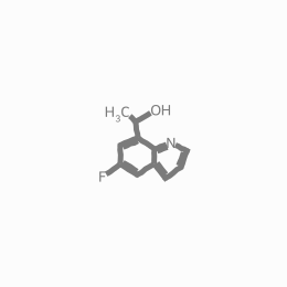 CC(O)c1cc(F)cc2cccnc12